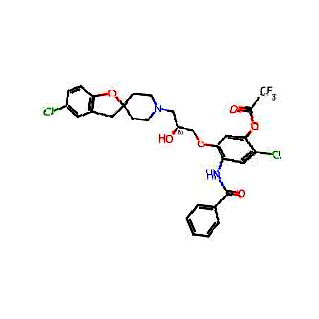 O=C(Nc1cc(Cl)c(OC(=O)C(F)(F)F)cc1OC[C@@H](O)CN1CCC2(CC1)Cc1cc(Cl)ccc1O2)c1ccccc1